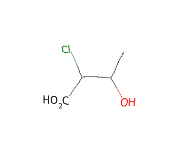 CC(O)C(Cl)C(=O)O